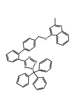 Cc1cc(OCc2ccc(-c3ccccc3-c3nnn(C(c4ccccc4)(c4ccccc4)c4ccccc4)n3)cc2)c2ccccc2n1